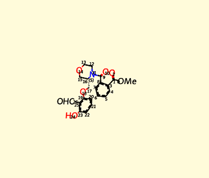 COC(=O)c1ccccc1C(=O)N1CCOC[C@H]1COc1cccc(O)c1C=O